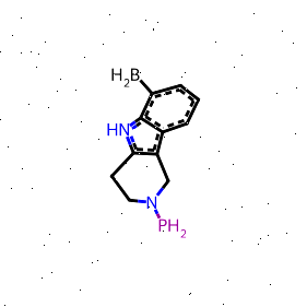 Bc1cccc2c3c([nH]c12)CCN(P)C3